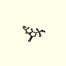 CC(C)(C)CC(=O)ON1C(=O)CC(S(=O)(=O)C(C)(C)C)C1=O